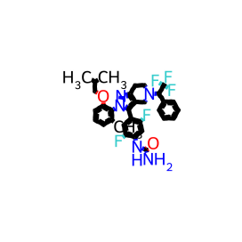 Cc1cccc(OCC(C)C)c1-n1nc2c(c1-c1cc(F)c(NC(N)=O)cc1F)CN(C(c1ccccc1)C(F)(F)F)CC2